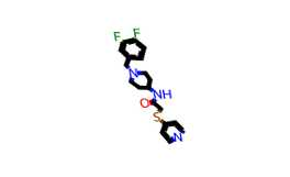 O=C(CSc1ccncc1)NC1CCN(Cc2ccc(F)c(F)c2)CC1